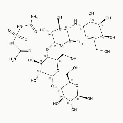 C[C@H]1O[C@H](O[C@H]2[C@H](O)[C@@H](O)[C@@H](O[C@H]3[C@H](O)[C@@H](O)[C@H](O)O[C@@H]3CO)O[C@@H]2CO)[C@H](O)[C@@H](O)[C@@H]1N[C@H]1C=C(CO)[C@H](O)[C@H](O)[C@H]1O.NC(=O)NS(=O)(=O)NC(N)=O